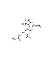 CCCc1nc2c([AsH2])nc(C)c(C)c2n1CCCON=C(C)C